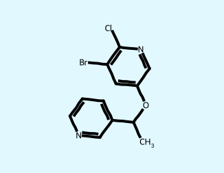 CC(Oc1cnc(Cl)c(Br)c1)c1cccnc1